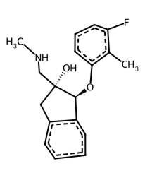 CNC[C@]1(O)Cc2ccccc2[C@@H]1Oc1cccc(F)c1C